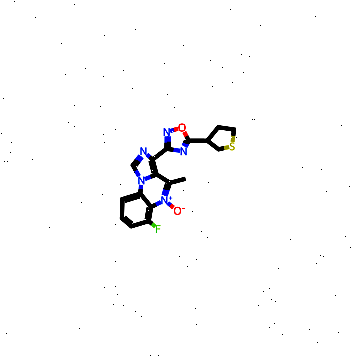 Cc1c2c(-c3noc(C4CCSC4)n3)ncn2c2cccc(F)c2[n+]1[O-]